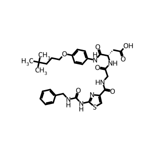 CC(C)(C)CCCOc1ccc(NC(=O)[C@H](CC(=O)O)NC(=O)CNC(=O)c2csc(NC(=O)NCc3ccccc3)n2)cc1